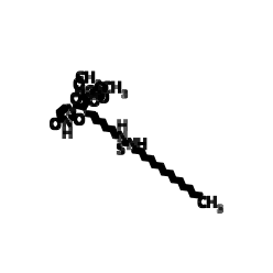 CCCCCCCCCCCCCCCNC(=S)NCCCC/C=C/C[C@H]1C(OP(=O)(O)OC)[C@@H](COC)O[C@H]1n1ccc(=O)[nH]c1=O